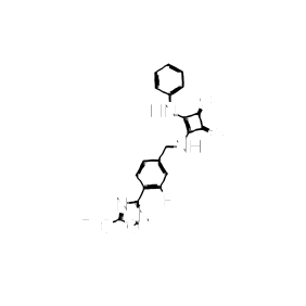 O=c1c(NCc2ccc(-c3noc(C(F)(F)F)n3)c(F)c2)c(Nc2ccccc2)c1=O